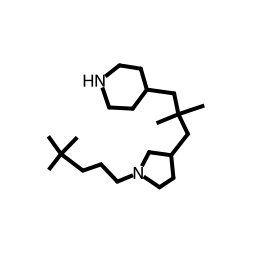 CC(C)(C)CCCN1CCC(CC(C)(C)CC2CCNCC2)C1